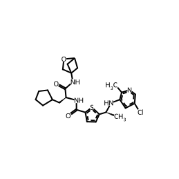 Cc1ncc(Cl)cc1N[C@@H](C)c1ccc(C(=O)N[C@@H](CC2CCCC2)C(=O)NC23COC(C2)C3)s1